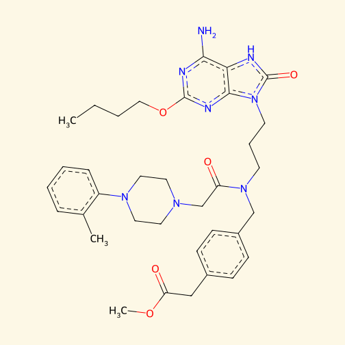 CCCCOc1nc(N)c2[nH]c(=O)n(CCCN(Cc3ccc(CC(=O)OC)cc3)C(=O)CN3CCN(c4ccccc4C)CC3)c2n1